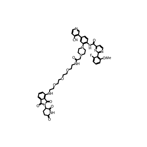 COc1cccc(F)c1-c1nccc(C(=O)Nc2ccc(-c3cnccc3C#N)cc2N2CCN(CC(=O)NCCOCCOCCOCCNc3cccc4c3C(=O)N(C3CCC(=O)NC3=O)C4=O)CC2)n1